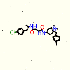 Cc1ccc(CC2(N(C)C)CCC(NC(=O)CCC(=O)NC(C)Cc3ccc(Cl)cc3)CC2)cc1